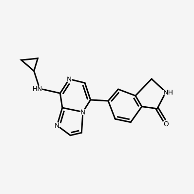 O=C1NCc2cc(-c3cnc(NC4CC4)c4nccn34)ccc21